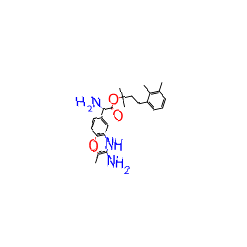 CC1=C(N)Nc2cc(C(N)C(=O)OC(C)(C)CCc3cccc(C)c3C)ccc2O1